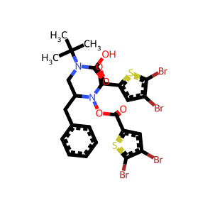 CC(C)(C)N(CC(Cc1ccccc1)N(OC(=O)c1cc(Br)c(Br)s1)C(=O)c1cc(Br)c(Br)s1)C(=O)O